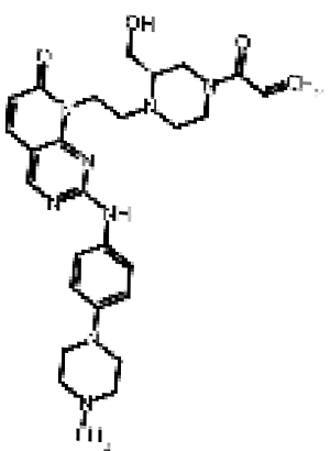 C=CC(=O)N1CCN(CCn2c(=O)ccc3cnc(Nc4ccc(N5CCN(C)CC5)cc4)nc32)[C@@H](CO)C1